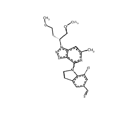 COCC[C@H](COC)n1nnc2c(N3CCc4cc(C=S)cc(Cl)c43)nc(C)cc21